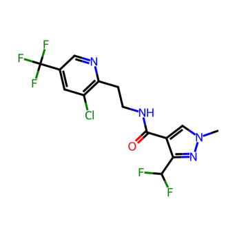 Cn1cc(C(=O)NCCc2ncc(C(F)(F)F)cc2Cl)c(C(F)F)n1